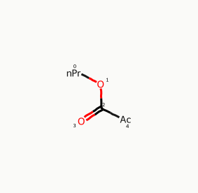 CCCOC(=O)C(C)=O